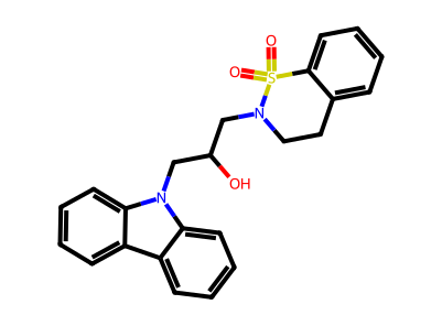 O=S1(=O)c2ccccc2CCN1CC(O)Cn1c2ccccc2c2ccccc21